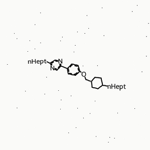 CCCCCCCc1cnc(-c2ccc(OCC3CCC(CCCCCCC)CC3)cc2)cn1